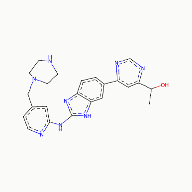 CC(O)c1cc(-c2ccc3nc(Nc4cc(CN5CCNCC5)ccn4)[nH]c3c2)ncn1